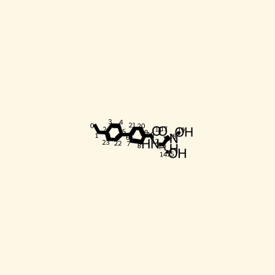 CCc1ccc(-c2ccc(C(=O)N[C@@H](CO)C(=O)NO)cc2)cc1